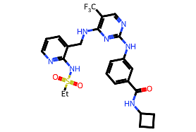 CCS(=O)(=O)Nc1ncccc1CNc1nc(Nc2cccc(C(=O)NC3CCC3)c2)ncc1C(F)(F)F